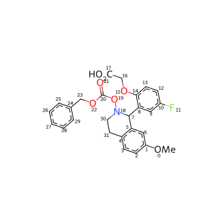 COc1ccc2c(c1)C(c1cc(F)ccc1OCC(=O)O)N(OC(=O)OCc1ccccc1)CC2